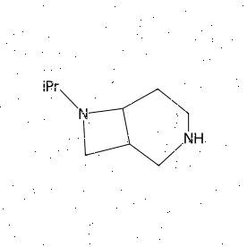 CC(C)N1CC2CNCCC21